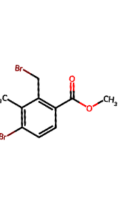 COC(=O)c1ccc(Br)c(C)c1CBr